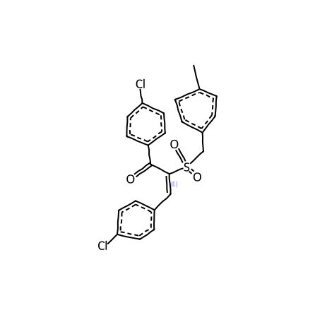 Cc1ccc(CS(=O)(=O)/C(=C/c2ccc(Cl)cc2)C(=O)c2ccc(Cl)cc2)cc1